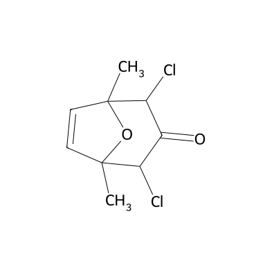 CC12C=CC(C)(O1)C(Cl)C(=O)C2Cl